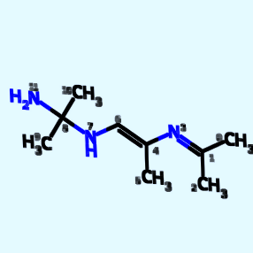 CC(C)=N/C(C)=C/NC(C)(C)N